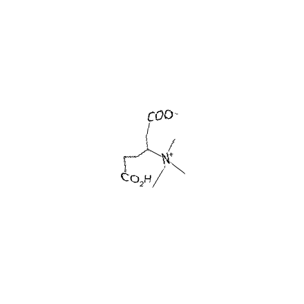 C[N+](C)(C)C(CC(=O)O)C(=O)[O-]